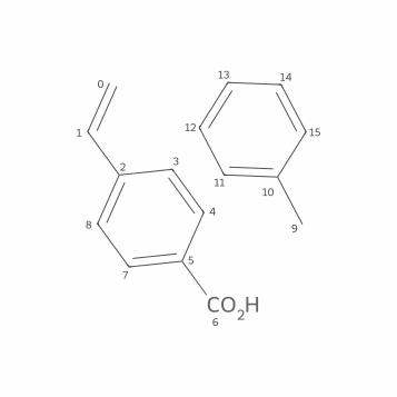 C=Cc1ccc(C(=O)O)cc1.Cc1ccccc1